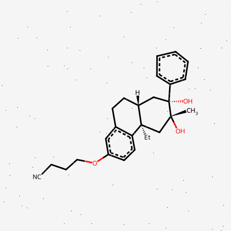 CC[C@@]12C[C@@](C)(O)[C@](O)(c3ccccc3)C[C@H]1CCc1cc(OCCCC#N)ccc12